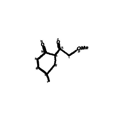 COCC(=O)C1CC(C)CCC1=O